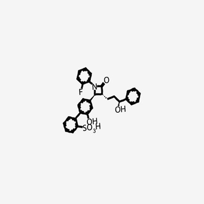 O=C1[C@H](CC[C@H](O)c2ccccc2)[C@@H](c2ccc(-c3ccccc3S(=O)(=O)O)c(O)c2)N1c1ccccc1F